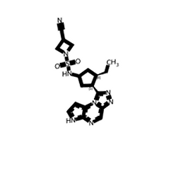 CC[C@@H]1CC(NS(=O)(=O)N2CC(C#N)C2)C[C@@H]1c1nnc2cnc3[nH]ccc3n12